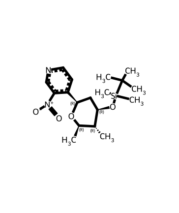 C[C@@H]1[C@@H](C)O[C@@H](c2ccncc2[N+](=O)[O-])C[C@H]1O[Si](C)(C)C(C)(C)C